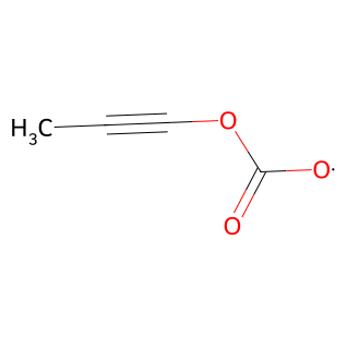 CC#COC([O])=O